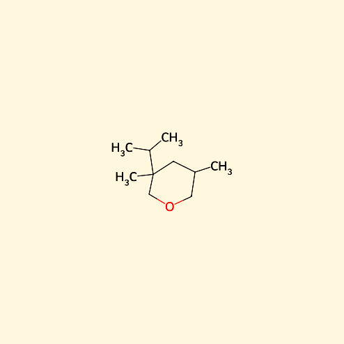 CC1COCC(C)(C(C)C)C1